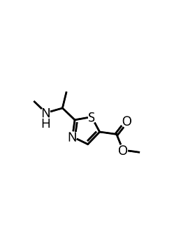 CNC(C)c1ncc(C(=O)OC)s1